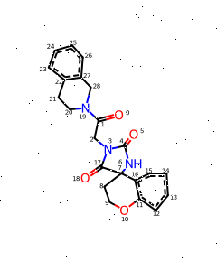 O=C(CN1C(=O)NC2(CCOc3ccccc32)C1=O)N1CCc2ccccc2C1